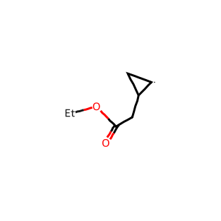 CCOC(=O)CC1[CH]C1